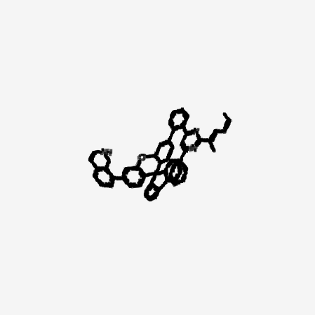 C/C=C\C=C(/C)C(=N)/N=C(\C=C\c1ccccc1)c1ccccc1C1=CC2Oc3cc(-c4cccc5c4CNC=C5)ccc3C3(c4ccccc4-c4ccccc43)C2C=C1